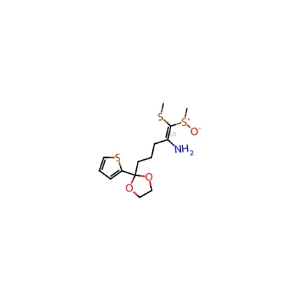 CS/C(=C(/N)CCCC1(c2cccs2)OCCO1)[S+](C)[O-]